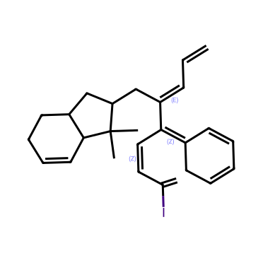 C=C/C=C(CC1CC2CCC=CC2C1(C)C)/C(/C=C\C(=C)I)=C1\C=CC=CC1